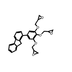 c1ccc2c(c1)Cc1c(-c3cc(OCC4CO4)c(OCC4CO4)c(OCC4CO4)c3)cccc1-2